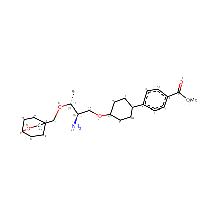 COC(=O)c1ccc(C2CCC(OC[C@@H](N)[C@@H](C)OCC34CCC(CC3)OC4)CC2)cc1